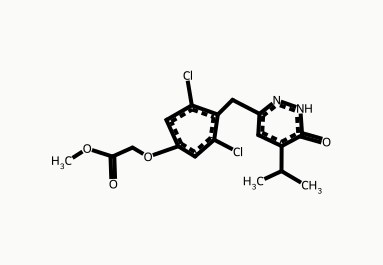 COC(=O)COc1cc(Cl)c(Cc2cc(C(C)C)c(=O)[nH]n2)c(Cl)c1